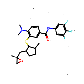 CC1CCC(C[C@@]2(C)CO2)C1Sc1cc(C(=O)Nc2cc(F)c(F)c(F)c2)ccc1N(C)C